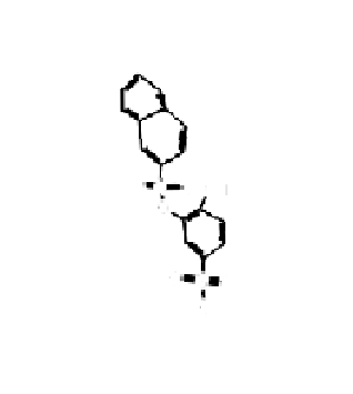 Cc1ccc(S([O])(=O)=O)cc1OS(=O)(=O)c1ccc2ccccc2c1